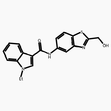 CCn1cc(C(=O)Nc2ccc3sc(CO)nc3c2)c2ccccc21